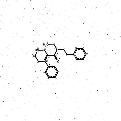 CCN(CCc1ccccc1)C(=O)C1=C(c2ccccc2)CCNC1